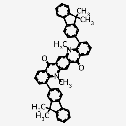 Cn1c2cc3c(=O)c4cccc(-c5ccc6c(c5)C(C)(C)c5ccccc5-6)c4n(C)c3cc2c(=O)c2cccc(-c3ccc4c(c3)C(C)(C)c3ccccc3-4)c21